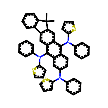 CC1(C)c2ccccc2-c2cc3c(N(c4ccccc4)c4cccs4)c4cc(N(c5ccccc5)c5cccs5)ccc4c(N(c4ccccc4)c4cccs4)c3cc21